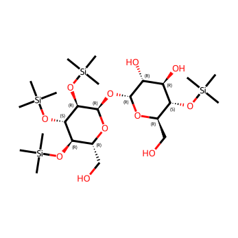 C[Si](C)(C)O[C@@H]1[C@@H](O[Si](C)(C)C)[C@@H](O[C@H]2O[C@H](CO)[C@@H](O[Si](C)(C)C)[C@H](O)[C@H]2O)O[C@H](CO)[C@H]1O[Si](C)(C)C